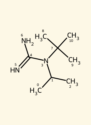 CC(C)N(C(=N)N)C(C)(C)C